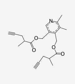 C#CCC(C)C(=O)OCc1cnc(C)c(C)c1COC(=O)C(C)CC#C